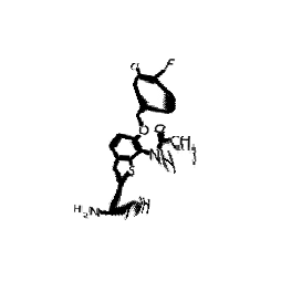 CC(=O)Nc1c(OCc2ccc(F)c(Cl)c2)ccc2c1SC(C(=N)N)C2